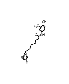 N#Cc1ccc(NC(=O)CCCCCCn2cc(F)cn2)cc1C(F)(F)F